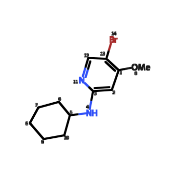 COc1cc(NC2CCCCC2)ncc1Br